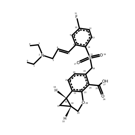 CCN(CC)CC=Cc1cc(F)ccc1S(=O)(=O)Cc1ccc2c(c1C(=O)O)OC[C@@H]1C[C@H]21